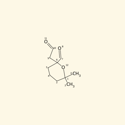 CC1(C)CCCC(C=O)(CC=O)O1